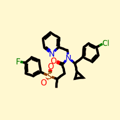 CC(CC(=O)N(Cc1ccccn1)C(c1ccc(Cl)cc1)C1CC1)S(=O)(=O)c1ccc(F)cc1